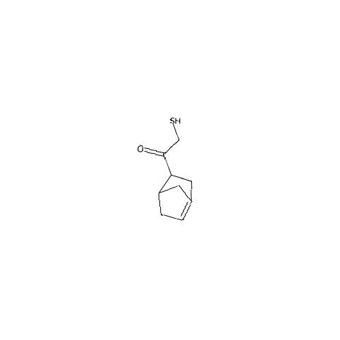 O=C(CS)C1CC2=CCC1C2